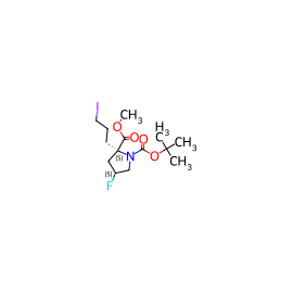 COC(=O)[C@]1(CCCI)C[C@H](F)CN1C(=O)OC(C)(C)C